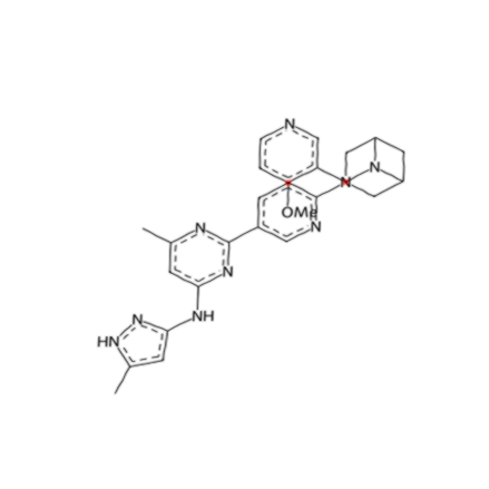 COc1ccncc1CN1C2CC1CN(c1ccc(-c3nc(C)cc(Nc4cc(C)[nH]n4)n3)cn1)C2